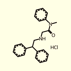 CN(C(=O)CNCC(c1ccccc1)c1ccccc1)c1ccccc1.Cl